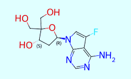 Nc1ncnc2c1c(F)cn2[C@H]1C[C@H](O)C(CO)(CO)O1